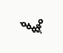 CN1CCN([C@H]2C=CC(c3cnc(N)c([C@H]4OC(C5=CC=CCC5)=NN4C)n3)=CN2C)CC1